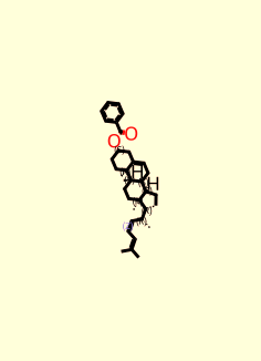 CC(C)=C/C=C\[C@@H](C)[C@H]1CC[C@H]2[C@@H]3CC=C4C[C@@H](OC(=O)c5ccccc5)CC[C@]4(C)[C@@]3(C)CC[C@]12C